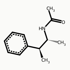 CC(=O)N[C@H](C)[C@@H](C)c1ccccc1